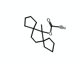 CCC(C)C(=O)OC1(C)C2(CCCC2)CCC12CCCC2